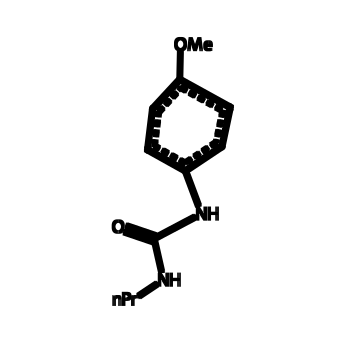 CCCNC(=O)Nc1ccc(OC)cc1